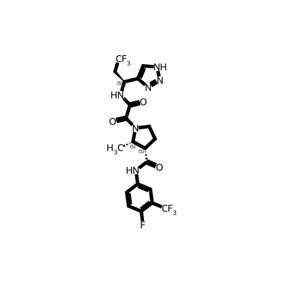 C[C@H]1[C@@H](C(=O)Nc2ccc(F)c(C(F)(F)F)c2)CCN1C(=O)C(=O)N[C@@H](CC(F)(F)F)c1c[nH]nn1